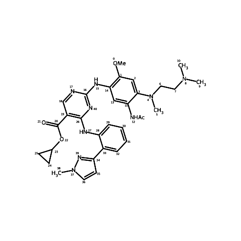 COc1cc(N(C)CCN(C)C)c(NC(C)=O)cc1Nc1ncc(C(=O)OC2CC2)c(Nc2ccccc2-c2ccn(C)n2)n1